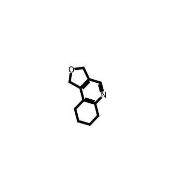 c1nc2c(c3c1COC3)CCCC2